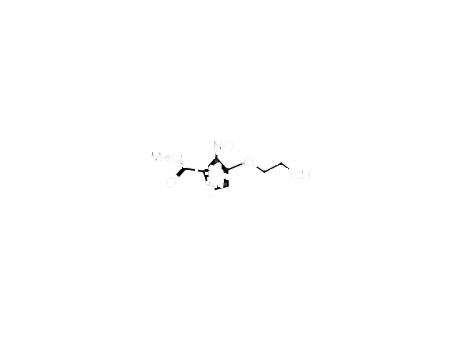 COC(=O)c1scc(OCCO)c1[N+](=O)[O-]